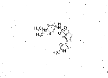 Cc1nnc(-c2cccc(S(=O)(=O)Nc3ccc(N(C)C)cc3)c2)o1